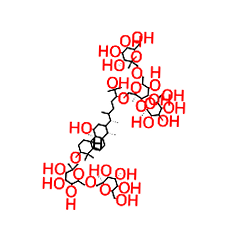 CC(CCC(OC[C@@]1(C)OC(COC[C@@]2(C)OC(CO)[C@H](O)C(O)[C@H]2O)[C@H](O)C(O)[C@H]1O[C@@]1(C)OC(CO)[C@H](O)C(O)[C@H]1O)C(C)(C)O)[C@H](C)C1C[C@@H](O)[C@@]2(C)C(CC=C3[C@@H]2CCC(OC[C@]2(C)OC(COC[C@]4(C)OC(CO)[C@@H](O)[C@@H](O)C4O)[C@@H](O)[C@@H](O)C2O)C3(C)C)[C@H]1C